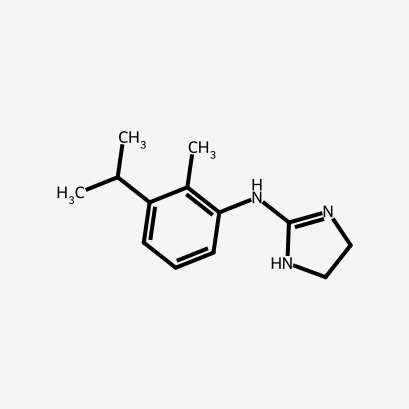 Cc1c(NC2=NCCN2)cccc1C(C)C